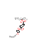 CCCCCCCCCOc1ccc(OC(=O)c2ccc(C(=O)OC(C(=O)OCC)C(F)(F)F)cc2)cc1